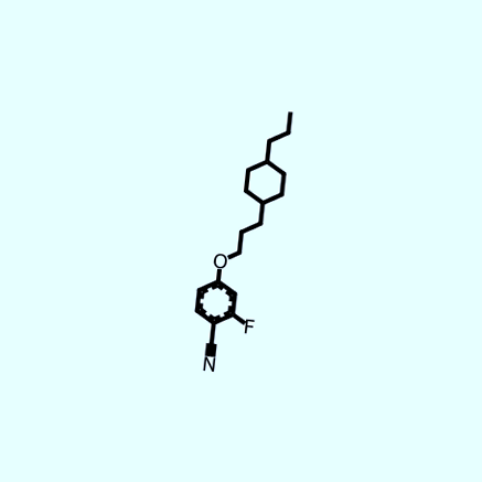 CCCC1CCC(CCCOc2ccc(C#N)c(F)c2)CC1